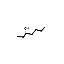 CCCC[C@@H](O)CC